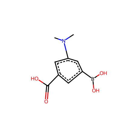 CN(C)c1cc(B(O)O)cc(C(=O)O)c1